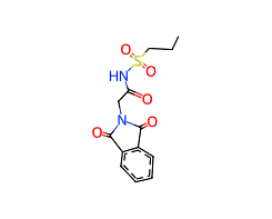 CCCS(=O)(=O)NC(=O)CN1C(=O)c2ccccc2C1=O